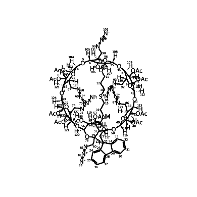 CC(=O)O[C@@H]1[C@@H](OC(C)=O)[C@H]2O[C@H]3[C@H](OC(C)=O)[C@@H](OCCCSCCNC(=O)OCC4c5ccccc5-c5ccccc54)[C@@H](O[C@H]4[C@H](OC(C)=O)[C@@H](OC(C)=O)[C@@H](O[C@@H]5[C@@H](OC(C)=O)[C@H](OC(C)=O)[C@H](O[C@@H]6[C@@H](OC(C)=O)[C@H](OC(C)=O)[C@H](O[C@@H]7[C@@H](OC(C)=O)[C@H](OC(C)=O)[C@H](O[C@@H]1[C@@H](CN=[N+]=[N-])O2)O[C@H]7CN=[N+]=[N-])O[C@H]6CN=[N+]=[N-])O[C@H]5CN=[N+]=[N-])O[C@@H]4CN=[N+]=[N-])O[C@@H]3CN=[N+]=[N-]